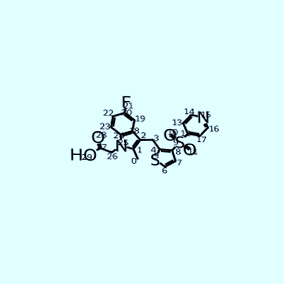 Cc1c(Cc2sccc2S(=O)(=O)c2ccncc2)c2cc(F)ccc2n1CC(=O)O